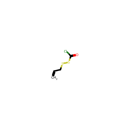 C=CCSSC(=O)Cl